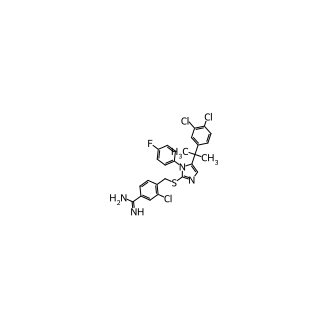 CC(C)(c1ccc(Cl)c(Cl)c1)c1cnc(SCc2ccc(C(=N)N)cc2Cl)n1-c1ccc(F)cc1